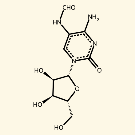 Nc1nc(=O)n([C@@H]2O[C@H](CO)[C@@H](O)[C@H]2O)cc1NC=O